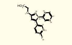 O=C(O)COc1cc(-c2ccc(F)nc2)n(-c2cnccn2)n1